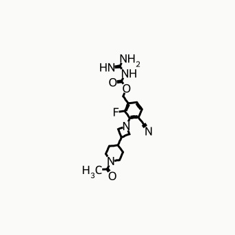 CC(=O)N1CCC(C2CN(c3c(C#N)ccc(COC(=O)NC(=N)N)c3F)C2)CC1